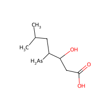 CC(C)CC([AsH2])C(O)CC(=O)O